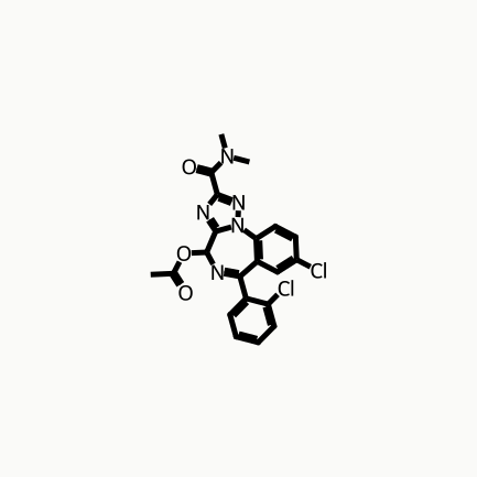 CC(=O)OC1N=C(c2ccccc2Cl)c2cc(Cl)ccc2-n2nc(C(=O)N(C)C)nc21